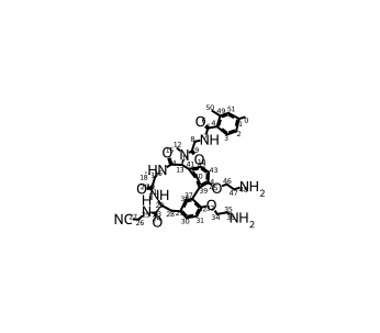 Cc1ccc(C(=O)NCC(=O)N(C)[C@@H]2C(=O)N[C@@H](C)C(=O)N[C@H](C(=O)NCC#N)Cc3ccc(OCCN)c(c3)-c3cc2ccc3OCCN)c(C)c1